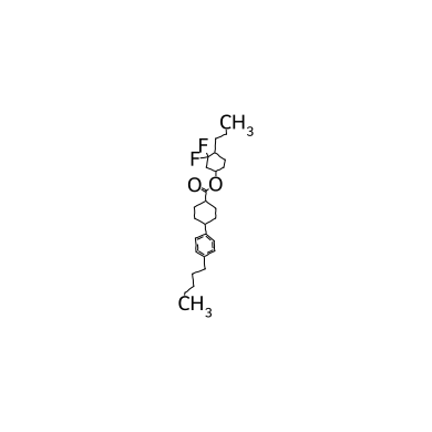 CCCCCc1ccc(C2CCC(C(=O)OC3CCC(CCC)C(F)(F)C3)CC2)cc1